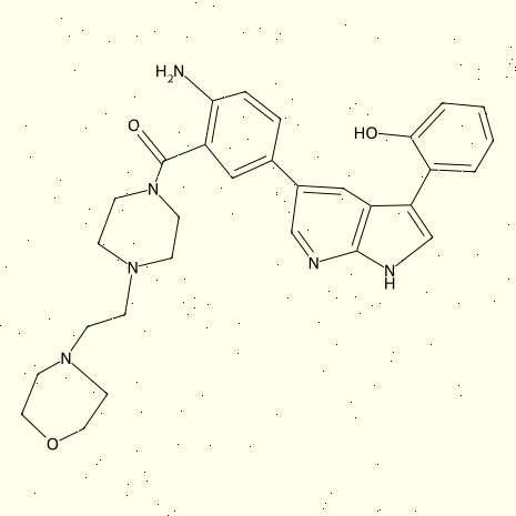 Nc1ccc(-c2cnc3[nH]cc(-c4ccccc4O)c3c2)cc1C(=O)N1CCN(CCN2CCOCC2)CC1